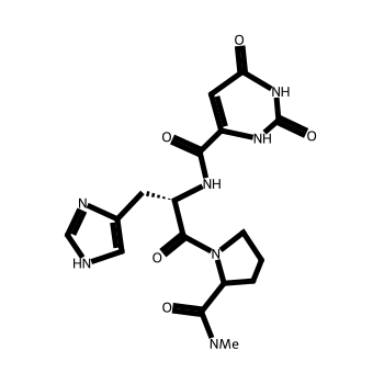 CNC(=O)C1CCCN1C(=O)[C@H](Cc1c[nH]cn1)NC(=O)c1cc(=O)[nH]c(=O)[nH]1